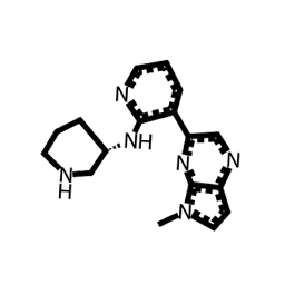 Cn1ccc2ncc(-c3cccnc3N[C@H]3CCCNC3)nc21